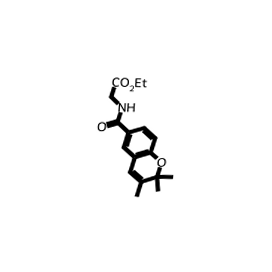 CCOC(=O)CNC(=O)c1ccc2c(c1)C=C(C)C(C)(C)O2